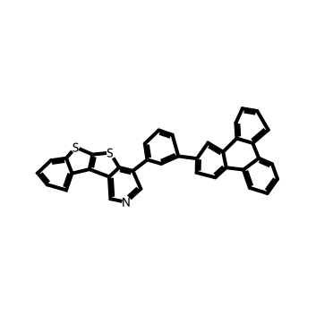 c1cc(-c2ccc3c4ccccc4c4ccccc4c3c2)cc(-c2cncc3c2sc2sc4ccccc4c23)c1